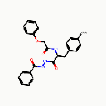 COc1ccc(CC(NC(=O)COc2ccccc2)C(=O)NNC(=O)c2ccccc2)cc1